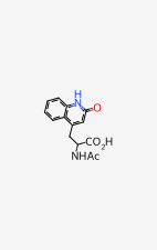 CC(=O)NC(Cc1cc(=O)[nH]c2ccccc12)C(=O)O